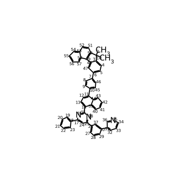 CC1(C)c2ccc(-c3ccc(-c4ccc(-c5nc(-c6ccccc6)cc(-c6cccc(-c7cccnc7)c6)n5)c5ccccc45)cc3)cc2-c2c1ccc1ccccc21